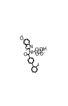 COc1ccc2nc(NC(=O)c3ccc(-c4ccccc4I)cc3)sc2c1.[O-][Cl+3]([O-])([O-])O